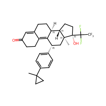 CC1(c2ccc([C@H]3C[C@@]4(C)[C@@H](CC[C@@]4(O)C(F)(F)C(F)(F)F)[C@@H]4CCC5=CC(=O)CCC5=C43)cc2)CC1